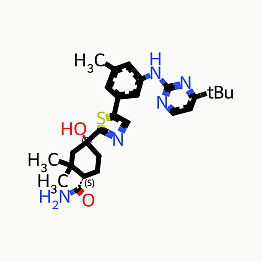 Cc1cc(Nc2nccc(C(C)(C)C)n2)cc(-c2cnc([C@@]3(O)CC[C@H](C(N)=O)C(C)(C)C3)s2)c1